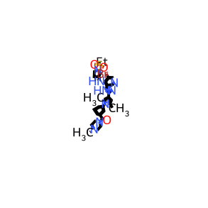 CCS(=O)(=O)N1CC[C@H](Nc2c(Br)cnc3nc(-c4cc(C)n(-c5cccc(C(=O)N6CCN(C)CC6)c5)c4C)[nH]c23)C1